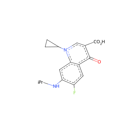 CC(C)Nc1cc2c(cc1F)c(=O)c(C(=O)O)cn2C1CC1